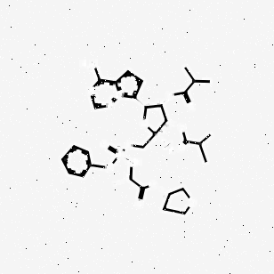 CC(C)C(=O)O[C@H]1[C@H](c2ccc3c(N)ncnn23)O[C@](C#N)(CO[P@](=O)(N[C@@H](C)C(=O)O[C@H]2CCOC2)Oc2ccccc2)[C@H]1OC(=O)C(C)C